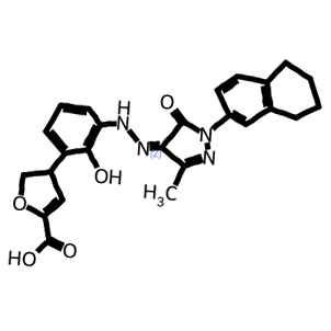 CC1=NN(c2ccc3c(c2)CCCC3)C(=O)/C1=N\Nc1cccc(C2C=C(C(=O)O)OC2)c1O